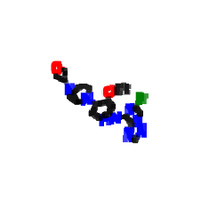 CCOc1cc(Nc2nc(Br)cn3ncnc23)ccc1N1CC2CC1CN2C1COC1